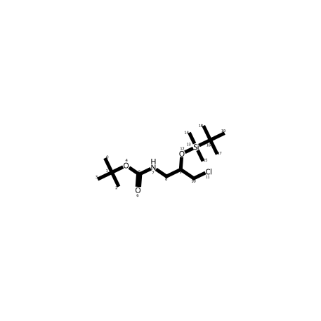 CC(C)(C)OC(=O)NCC(CCl)O[Si](C)(C)C(C)(C)C